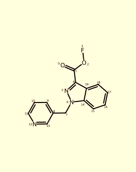 O=C(OF)c1nn(Cc2cccnc2)c2ccccc12